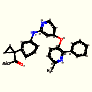 COC(=O)C1(c2cccc(Nc3cc(Oc4ccc(C)nc4-c4ccccc4)ccn3)c2)CC1